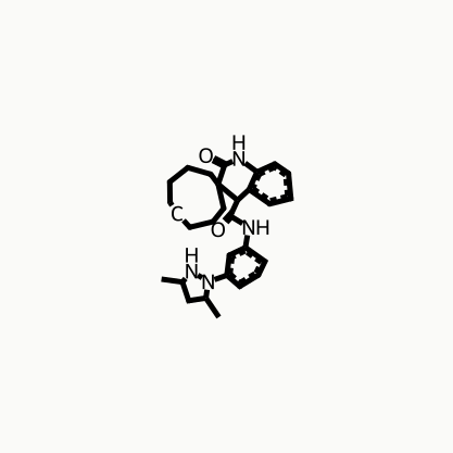 CC1CC(C)N(c2cccc(NC(=O)C3c4ccccc4NC(=O)C34CCCCCCCC4)c2)N1